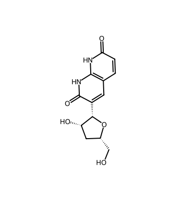 O=c1ccc2cc([C@@H]3O[C@H](CO)C[C@@H]3O)c(=O)[nH]c2[nH]1